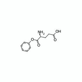 N[C@@H](CCC(=O)O)C(=O)Oc1ccccc1